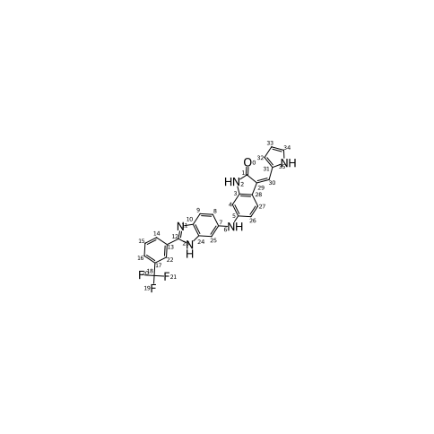 O=C1Nc2cc(Nc3ccc4nc(-c5cccc(C(F)(F)F)c5)[nH]c4c3)ccc2/C1=C/c1ccc[nH]1